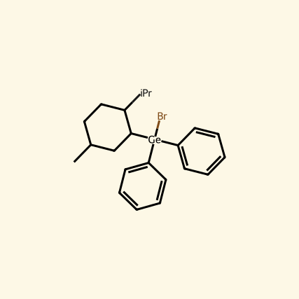 CC1CCC(C(C)C)[CH]([Ge]([Br])([c]2ccccc2)[c]2ccccc2)C1